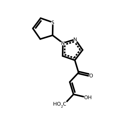 O=C(O)C(O)=CC(=O)c1cnn(C2CC=CS2)c1